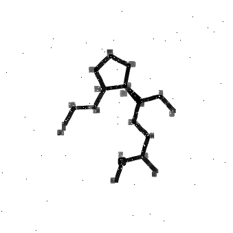 CCC(CCC(C)OC)[C@@H]1CCCC1CCI